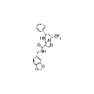 O=C(NCc1ccc2c(c1)OCO2)c1cnn2c1NC(c1ccccc1)CC2C(F)(F)F